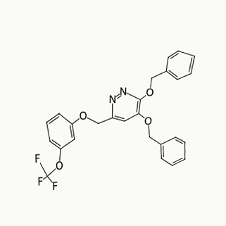 FC(F)(F)Oc1cccc(OCc2cc(OCc3ccccc3)c(OCc3ccccc3)nn2)c1